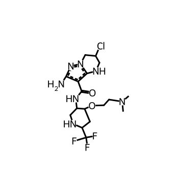 CN(C)CCOC1CC(C(F)(F)F)NCC1NC(=O)c1c(N)nn2c1NCC(Cl)C2